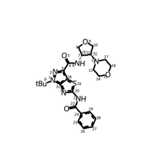 CC(C)(C)n1nc(C(=O)N[C@@H]2COC[C@H]2N2CCOCC2)c2sc(NC(=O)c3ccccc3)nc21